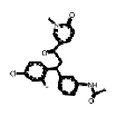 CC(=O)Nc1cccc(C(CC(=O)c2ccc(=O)n(C)c2)c2ccc(Cl)cc2F)c1